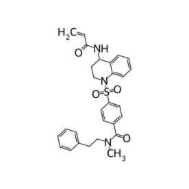 C=CC(=O)NC1CCN(S(=O)(=O)c2ccc(C(=O)N(C)CCc3ccccc3)cc2)c2ccccc21